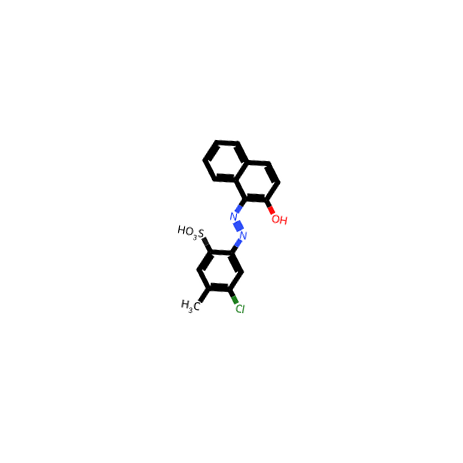 Cc1cc(S(=O)(=O)O)c(/N=N/c2c(O)ccc3ccccc23)cc1Cl